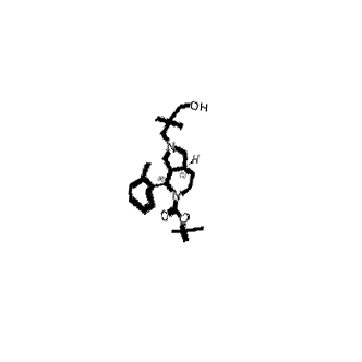 Cc1ccccc1[C@H]1C2CN(CC(C)(C)CO)C[C@H]2CCN1C(=O)OC(C)(C)C